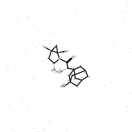 N#C[C@@H]1C[C@@H]2C[C@@H]2N1C(=O)[C@@H](N)C12CC3CC(CC(N=O)(C3)C1)C2